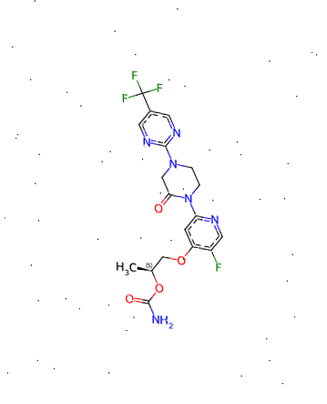 C[C@@H](COc1cc(N2CCN(c3ncc(C(F)(F)F)cn3)CC2=O)ncc1F)OC(N)=O